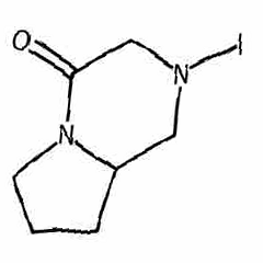 O=C1CN(I)CC2CCCN12